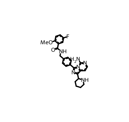 COc1ccc(F)cc1C(=O)NCc1ccc(-c2nc(C3CCCCN3)c3ccnc(N)n23)cc1